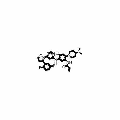 C=CC(=O)Nc1cc(Nc2cc(N3OCCC3c3cc(F)ccc3F)ncn2)c(OC)cc1N1CCC(N(C)C)CC1